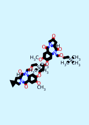 COc1cc2c(cc1OCCCOc1cc3c(cc1OC)C(=O)N1CC4(CC4)C[C@H]1C(=O)N3COCC[Si](C)(C)C)N(COCC[Si](C)(C)C)C(=O)[C@@H]1CC(=O)CN1C2=O